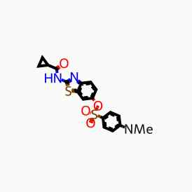 CNc1ccc(S(=O)(=O)Oc2ccc3nc(NC(=O)C4CC4)sc3c2)cc1